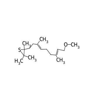 COCC=C(C)CCC=C(C)CCC1(C)SC1(C)C